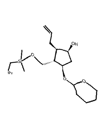 C=CC[C@@H]1[C@@H](CO[Si](C)(C)CC(C)C)[C@H](OC2CCCCO2)C[C@@H]1O